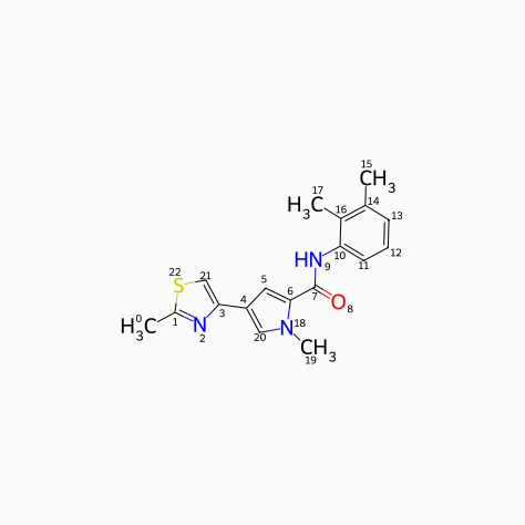 Cc1nc(-c2cc(C(=O)Nc3cccc(C)c3C)n(C)c2)cs1